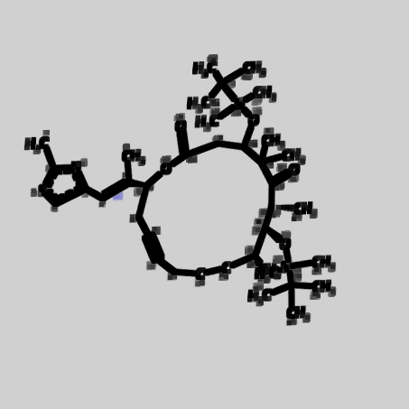 C/C(=C\c1csc(C)n1)[C@@H]1CC#CCCC[C@H](C)[C@H](O[Si](C)(C)C(C)(C)C)[C@@H](C)C(=O)C(C)(C)C(O[Si](C)(C)C(C)(C)C)CC(=O)O1